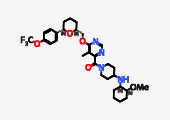 CO[C@H]1CCCC[C@H]1NC1CCN(C(=O)c2ncnc(OC[C@H]3CCC[C@@H](c4ccc(OC(F)(F)F)cc4)O3)c2C)CC1